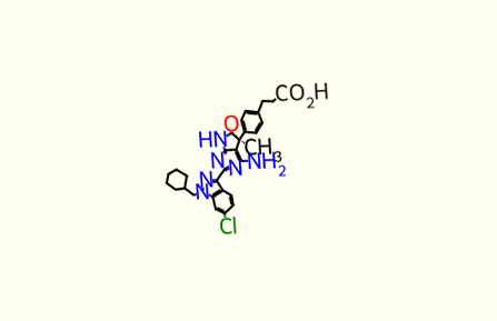 C[C@@]1(c2ccc(CCC(=O)O)cc2)C(=O)Nc2nc(-c3nn(CC4CCCCC4)c4cc(Cl)ccc34)nc(N)c21